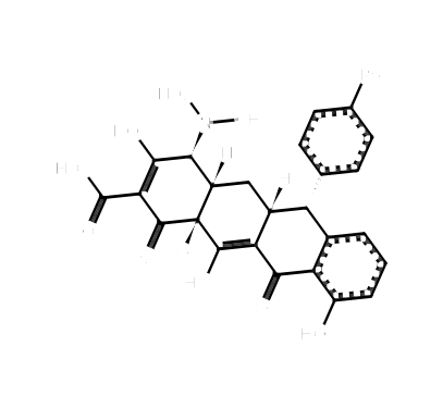 CC(=O)C1=C(O)[C@@H](N(C)C)[C@@H]2C[C@H]3C(=C(O)[C@]2(O)C1=O)C(=O)c1c(O)cccc1[C@H]3c1cc[c]([Rb])cc1